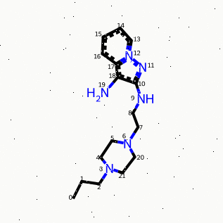 CCCN1CCN(CCNc2nn3ccccc3c2N)CC1